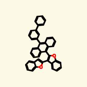 c1ccc(-c2cccc(-c3c4ccccc4c(-c4oc5ccccc5c4-c4cc5ccccc5o4)c4ccccc34)c2)cc1